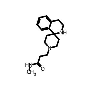 CNC(=O)CCN1CCC2(CC1)NCCc1ccccc12